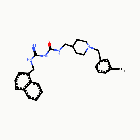 Cc1cccc(CN2CCC(CNC(=O)NC(=N)NCc3cccc4ccccc34)CC2)c1